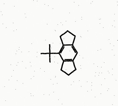 CC(C)(C)c1c2c(cc3c1CCC3)CCC2